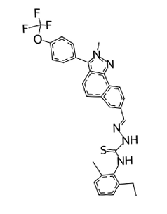 CCc1cccc(C)c1NC(=S)NN=Cc1ccc2c(ccc3c(-c4ccc(OC(F)(F)F)cc4)n(C)nc32)c1